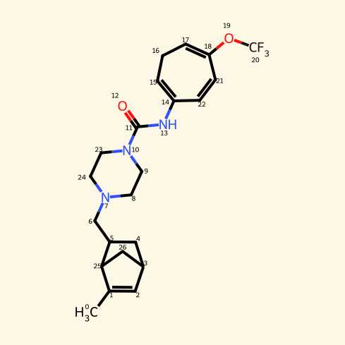 CC1=CC2CC(CN3CCN(C(=O)NC4=CCC=C(OC(F)(F)F)C=C4)CC3)C1C2